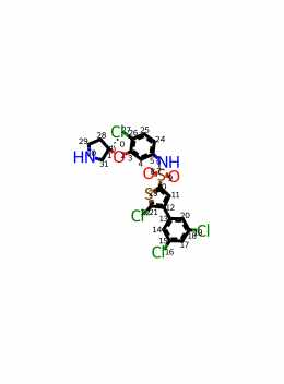 C[C@@]1(Oc2cc(NS(=O)(=O)c3cc(-c4cc(Cl)cc(Cl)c4)c(Cl)s3)ccc2Cl)CCNC1